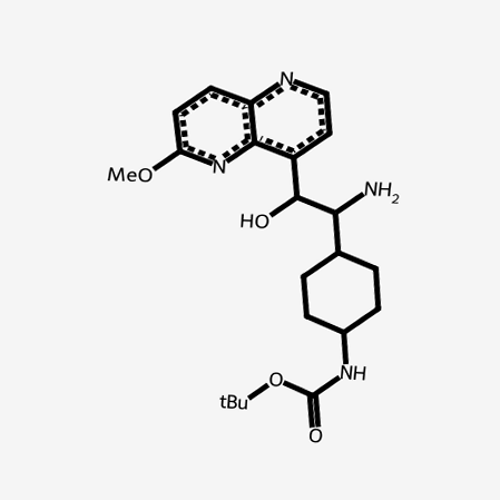 COc1ccc2nccc(C(O)C(N)C3CCC(NC(=O)OC(C)(C)C)CC3)c2n1